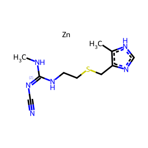 CN/C(=N/C#N)NCCSCc1nc[nH]c1C.[Zn]